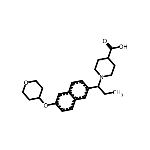 CCC(c1ccc2cc(OC3CCOCC3)ccc2c1)N1CCC(C(=O)O)CC1